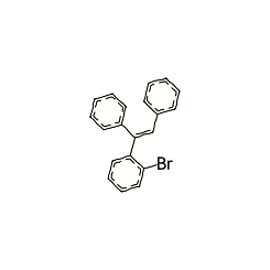 Brc1ccccc1C(=Cc1ccccc1)c1ccccc1